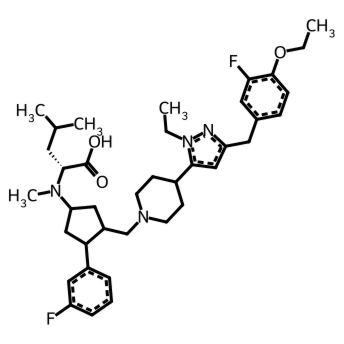 CCOc1ccc(Cc2cc(C3CCN(CC4CC(N(C)[C@H](CC(C)C)C(=O)O)CC4c4cccc(F)c4)CC3)n(CC)n2)cc1F